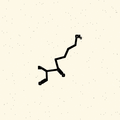 CCCCCC(=O)C(Br)C=O